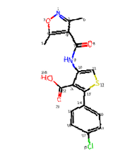 Cc1noc(C)c1C(=O)Nc1csc(-c2ccc(Cl)cc2)c1C(=O)O